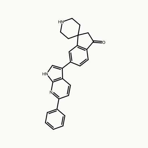 O=C1CC2(CCNCC2)c2cc(-c3c[nH]c4nc(-c5ccccc5)ccc34)ccc21